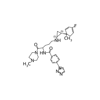 CN1CCN(C(=O)C(CCCN[C@H]2C[C@H]2C2(C)C=CC(F)=CC2)NC(=O)c2ccc(-n3ccnn3)cc2)CC1